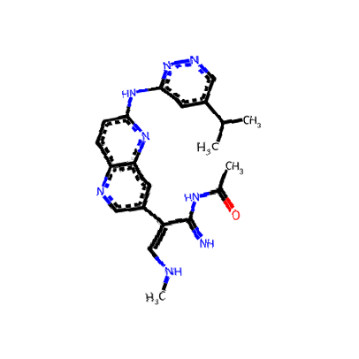 CN/C=C(\C(=N)NC(C)=O)c1cnc2ccc(Nc3cc(C(C)C)cnn3)nc2c1